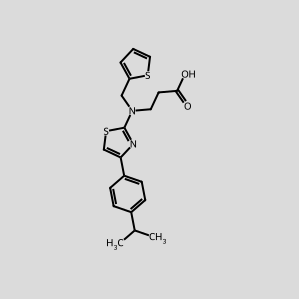 CC(C)c1ccc(-c2csc(N(CCC(=O)O)Cc3cccs3)n2)cc1